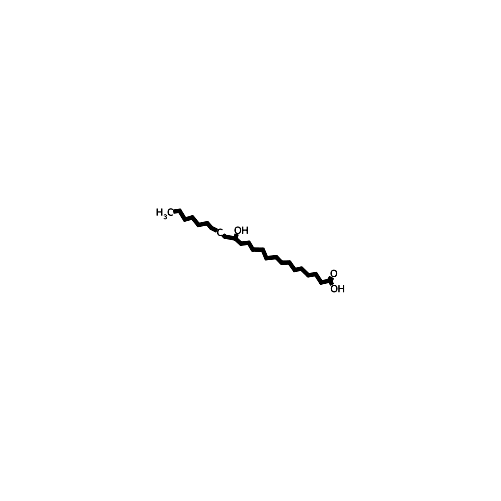 CCCCCCCCCC(O)CCCCCCCCCCCCCC(=O)O